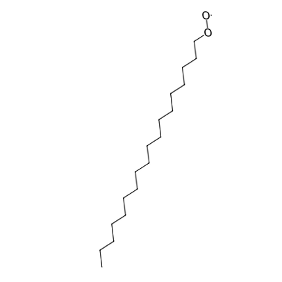 CCCCCCCCCCCCCCCCCCO[O]